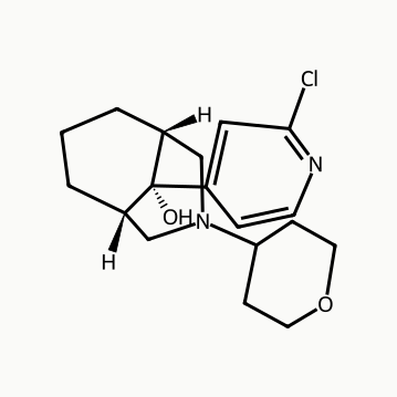 O[C@@]1(c2ccnc(Cl)c2)[C@@H]2CCC[C@H]1CN(C1CCOCC1)C2